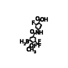 Bc1cc(C(=O)Nc2ccc(C(=O)O)c(F)c2)cc(C(F)(F)F)c1OCC